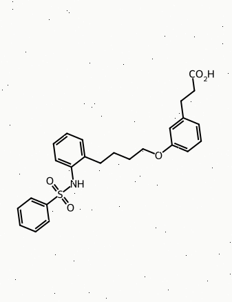 O=C(O)CCc1cccc(OCCCCc2ccccc2NS(=O)(=O)c2ccccc2)c1